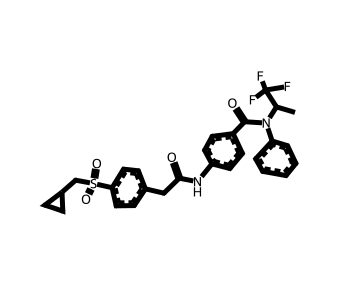 CC(N(C(=O)c1ccc(NC(=O)Cc2ccc(S(=O)(=O)CC3CC3)cc2)cc1)c1ccccc1)C(F)(F)F